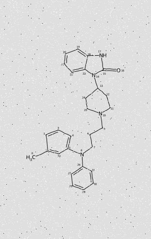 Cc1cccc(N(CCCN2CCC(n3c(=O)[nH]c4ccccc43)CC2)c2ccccc2)c1